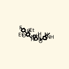 CCOc1cc(CN2CC[C@H]3C(NC(=O)c4ccc5[nH]c(C)nc5c4)CC[C@H]32)cc(OCC)c1-c1ccc(F)cc1